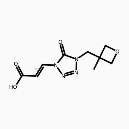 CC1(Cn2nnn(/C=C/C(=O)O)c2=O)COC1